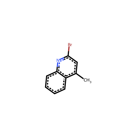 Cc1cc(Br)nc2ccccc12